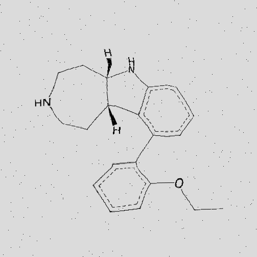 CCOc1ccccc1-c1cccc2c1[C@@H]1CCNCC[C@@H]1N2